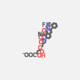 O=C(CC(O)C(=O)[O-])OCC1CN(c2ccc3cc(-c4ccccc4C(F)(F)F)[nH]c(=O)c3c2)C(=O)O1.[Na+]